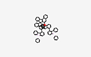 c1ccc(-p2c3ccccc3c3c(-c4cccc5c(-c6cc7ccccc7c7c6C6(c8ccccc8-c8ccccc86)c6ccccc6-7)c6cccc(-c7cccc8c7c7ccccc7p8-c7ccccc7)c6cc45)cccc32)cc1